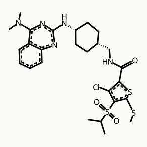 CSc1sc(C(=O)NC[C@H]2CC[C@@H](Nc3nc(N(C)C)c4ccccc4n3)CC2)c(Cl)c1S(=O)(=O)C(C)C